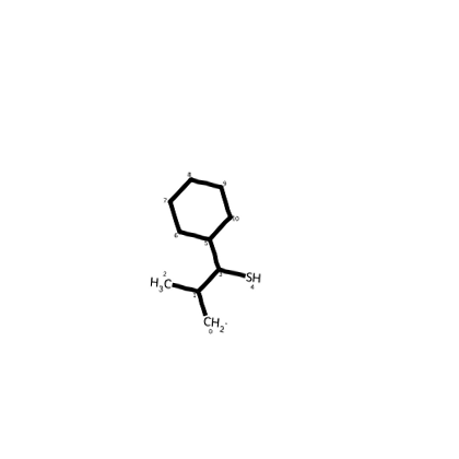 [CH2]C(C)C(S)C1CCCCC1